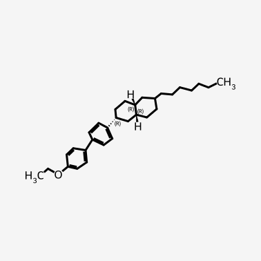 CCCCCCCC1CC[C@@H]2C[C@H](c3ccc(-c4ccc(OCC)cc4)cc3)CC[C@@H]2C1